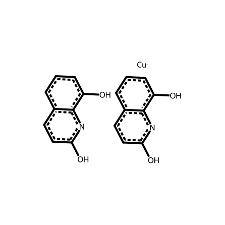 Oc1ccc2cccc(O)c2n1.Oc1ccc2cccc(O)c2n1.[Cu]